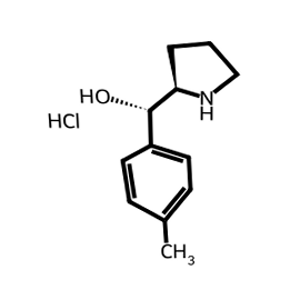 Cc1ccc([C@H](O)[C@H]2CCCN2)cc1.Cl